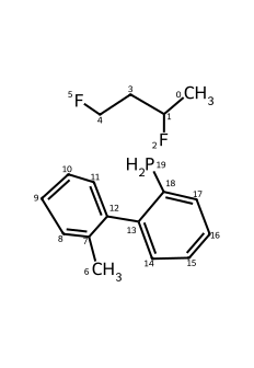 CC(F)CCF.Cc1ccccc1-c1ccccc1P